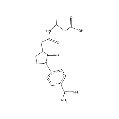 CC(CC(=O)O)NC(=O)CC1CCN(c2ccc(C(=N)N)cc2)C1=O